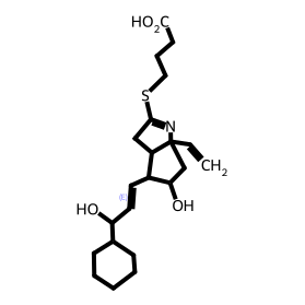 C=CC12CC(O)C(/C=C/C(O)C3CCCCC3)C1CC(SCCCC(=O)O)=N2